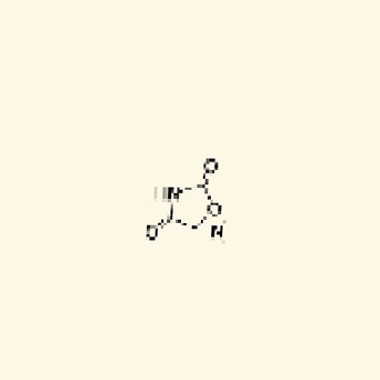 O=C1COC(=O)N1.[N]